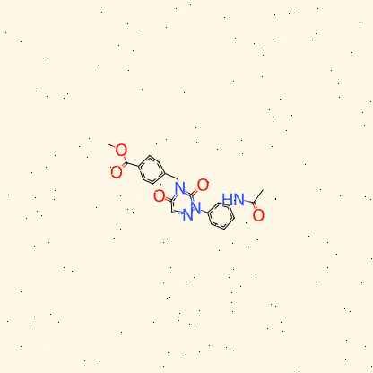 COC(=O)c1ccc(Cn2c(=O)cnn(-c3cccc(NC(C)=O)c3)c2=O)cc1